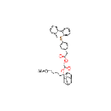 COCCCCC1(OC(=O)COC(=O)Cc2ccc(Sc3ccccc3-c3ccccc3C)cc2)C2CC3CC(C2)CC1C3